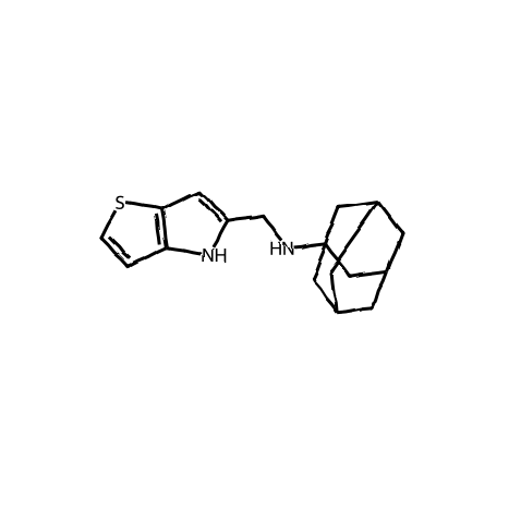 c1cc2[nH]c(CNC34CC5CC(CC(C5)C3)C4)cc2s1